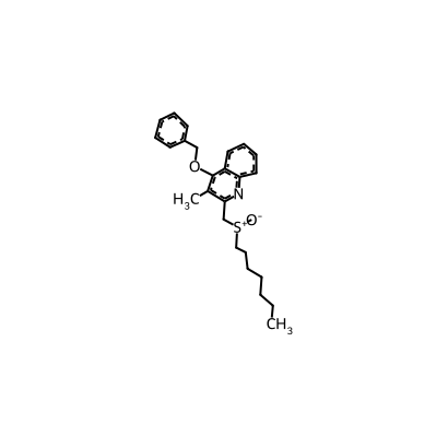 CCCCCCC[S+]([O-])Cc1nc2ccccc2c(OCc2ccccc2)c1C